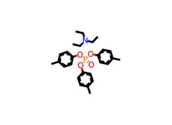 CCN(CC)CC.Cc1ccc(OP(=O)(Oc2ccc(C)cc2)Oc2ccc(C)cc2)cc1